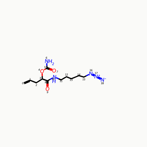 C=CCC(OC(N)=O)C(=O)NCCCCCN=[N+]=[N-]